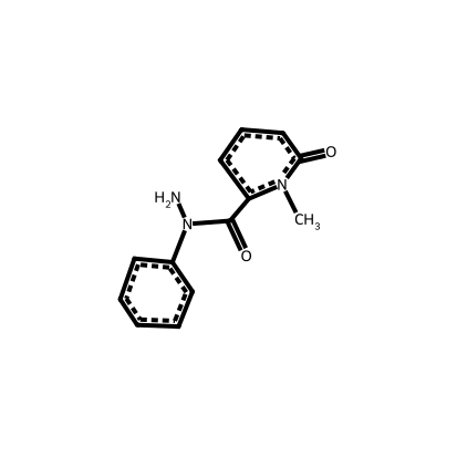 Cn1c(C(=O)N(N)c2ccccc2)cccc1=O